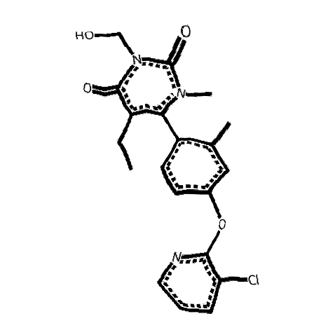 CCc1c(-c2ccc(Oc3ncccc3Cl)cc2C)n(C)c(=O)n(CO)c1=O